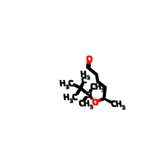 C[C@H](CCCC=O)O[Si](C)(C)C(C)(C)C